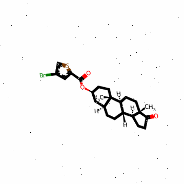 C[C@]12CC[C@H](OC(=O)c3cc(Br)cs3)C[C@@H]1CC[C@@H]1[C@@H]2CC[C@]2(C)C(=O)CC[C@@H]12